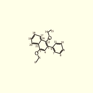 CCOc1cc(-c2ccccc2)c(OCC)c2ccccc12